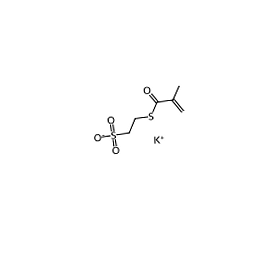 C=C(C)C(=O)SCCS(=O)(=O)[O-].[K+]